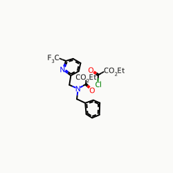 CCOC(=O)C(=O)Cl.CCOC(=O)C(=O)N(Cc1ccccc1)Cc1cccc(C(F)(F)F)n1